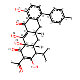 CC(=O)C1=C(O)C(C(C)C)[C@H]2C[C@H]3Cc4c(-c5ccc(C)cc5)ccc(O)c4C(=O)C3=C(O)[C@@]2(O)C1=O